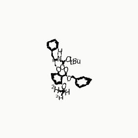 [2H]C([2H])([2H])Oc1cccc(OC[C@@H](Cc2ccccc2)NC(=O)OC(C)(C)C)c1C(=O)OCc1ccccc1